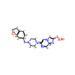 OCc1cn2cc(N3CCN(Cc4ccc5c(c4)OCC5)CC3)ncc2n1